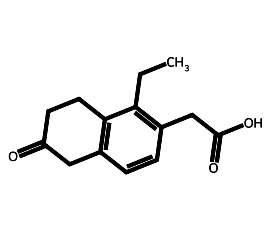 CCc1c(CC(=O)O)ccc2c1CCC(=O)C2